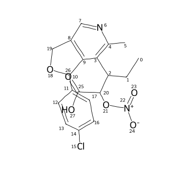 CCC(c1c(C)ncc2c1C(c1ccc(Cl)cc1)OC2)C(O[N+](=O)[O-])C(=O)O